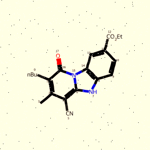 CCCCc1c(C)c(C#N)c2[nH]c3ccc(C(=O)OCC)cc3n2c1=O